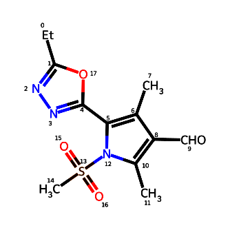 CCc1nnc(-c2c(C)c(C=O)c(C)n2S(C)(=O)=O)o1